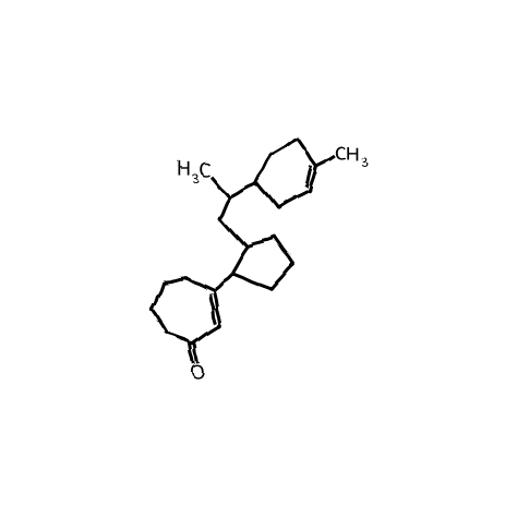 CC1=CCC(C(C)CC2CCCC2C2=CC(=O)CCCC2)CC1